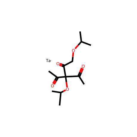 CC(=O)C(OC(C)C)(C(C)=O)C(=O)COC(C)C.[Ta]